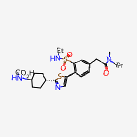 CCNS(=O)(=O)c1cc(CC(=O)N(C)C(C)C)ccc1-c1cnc([C@H]2CC[C@H](NC(=O)O)CC2)s1